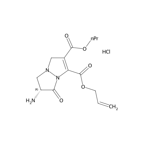 C=CCOC(=O)C1=C(C(=O)OCCC)CN2C[C@@H](N)C(=O)N12.Cl